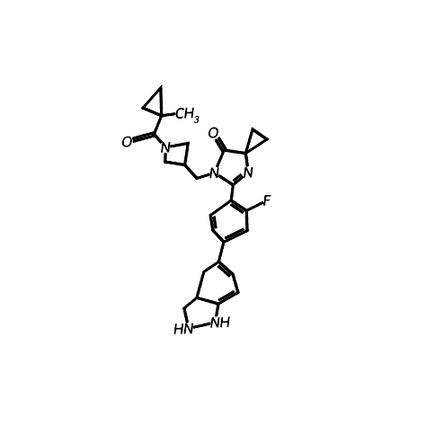 CC1(C(=O)N2CC(CN3C(=O)C4(CC4)N=C3c3ccc(C4=CC=C5NNCC5C4)cc3F)C2)CC1